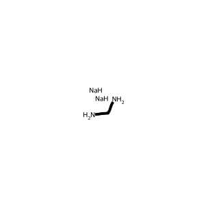 NCN.[NaH].[NaH]